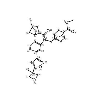 COC(=O)C12CCC(CN(C(=O)C3CC4(F)CC3C4)c3cccc(-c4noc(C5(C)COC5)n4)c3)(CC1)CC2